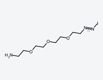 NCCOCCOCCOCC/N=N/I